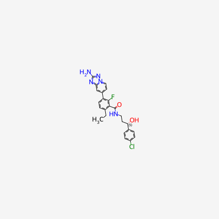 CCc1ccc(-c2ccn3nc(N)nc3c2)c(F)c1C(=O)NCC[C@H](O)c1ccc(Cl)cc1